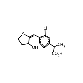 CC(C(=O)O)c1ccc(C=C2SCCC2O)c(Cl)c1